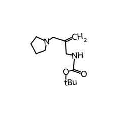 C=C(CNC(=O)OC(C)(C)C)CN1CCCC1